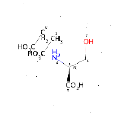 CC(=O)O.CC(=O)O.N[C@@H](CO)C(=O)O